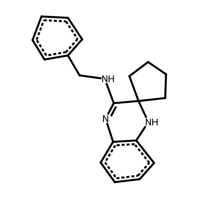 c1ccc(CNC2=Nc3ccccc3NC23CCCC3)cc1